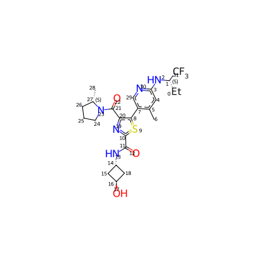 CC[C@H](Nc1cc(C)c(-c2sc(C(=O)N[C@H]3C[C@H](O)C3)nc2C(=O)N2CCC[C@@H]2C)cn1)C(F)(F)F